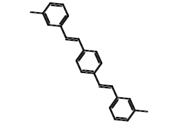 Cc1cccc(/C=C/c2ccc(/C=C/c3cccc(C)c3)cc2)c1